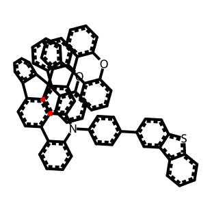 c1ccc2c(c1)Oc1ccccc1C21c2ccccc2-c2ccc(-c3ccccc3N(c3ccc(-c4ccc5sc6ccccc6c5c4)cc3)c3ccc4c(c3)C3(c5ccccc5Oc5ccccc53)c3ccccc3-4)cc21